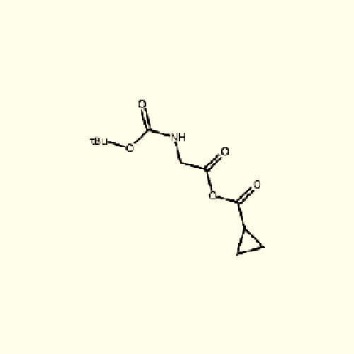 CC(C)(C)OC(=O)NCC(=O)OC(=O)C1CC1